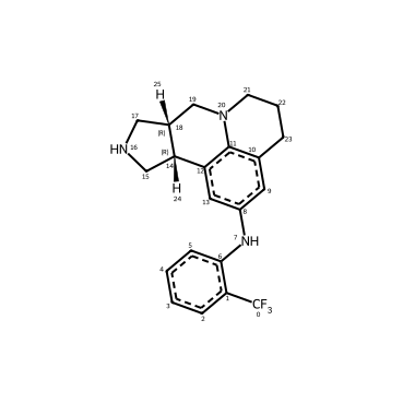 FC(F)(F)c1ccccc1Nc1cc2c3c(c1)[C@@H]1CNC[C@@H]1CN3CCC2